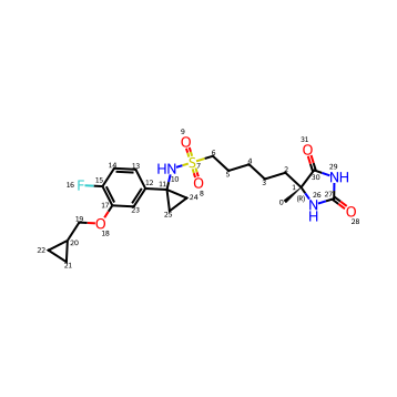 C[C@]1(CCCCCS(=O)(=O)NC2(c3ccc(F)c(OCC4CC4)c3)CC2)NC(=O)NC1=O